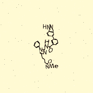 CNC(=O)CCCc1cn(-c2ccccc2)c(NC(=O)c2cccc(-c3ccc4[nH]ncc4c3)c2)n1